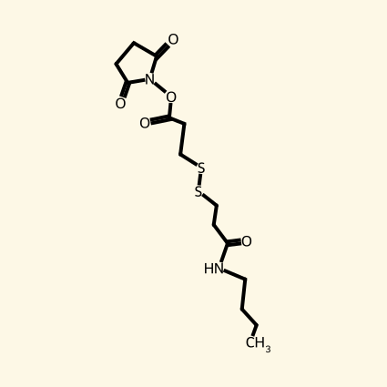 CCCCNC(=O)CCSSCCC(=O)ON1C(=O)CCC1=O